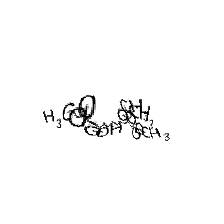 CCOC(=O)CCC(CCCCCCC(CCC(=O)OCC)C(=O)OC(C)CC)C(=O)O